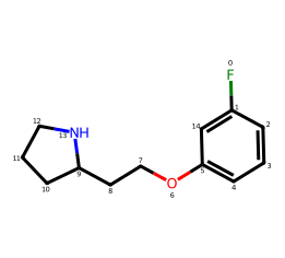 Fc1cccc(OCCC2CCCN2)c1